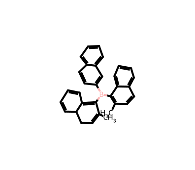 CC1=CCC2C=CC=CC2=C1B(c1ccc2ccccc2c1)c1c(C)ccc2ccccc12